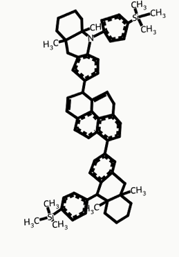 CC12CCCCC1(C)C(c1ccc([Si](C)(C)C)cc1)c1ccc(-c3ccc4c5c6c(ccc35)C=CC(c3ccc5c(c3)CC3(C)CCCCC3(C)N5c3ccc([Si](C)(C)C)cc3)C6=CC4)cc1C2